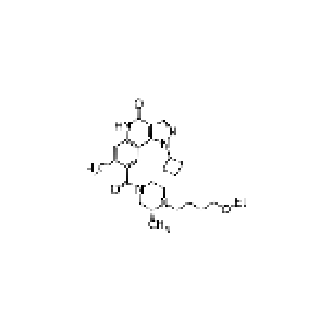 CCOCCCCN1CCN(C(=O)c2cc3c(cc2C)[nH]c(=O)c2cnn(C4CCC4)c23)C[C@@H]1C